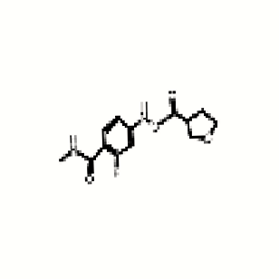 CNC(=O)c1ccc(NOC(=O)C2CCOC2)cc1F